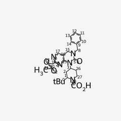 CC(C)(C)C1CC(N2C(=O)N(Cc3ccccc3)Cc3cnc(S(C)(=O)=O)nc32)CCN1C(=O)O